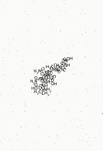 CC(C)[C@H](N)C(=O)N[C@@H](CCC(=O)O)C(=O)N[C@@H](CCC(=O)O)C(=O)N[C@@H](CCC(N)=O)C(=O)N[C@@H](CCC(N)=O)C(=O)N[C@@H](CCC(=O)O)C(=O)N[C@H](C(=O)N1CCC[C@H]1C(=O)N1CCC[C@H]1C(=O)N[C@@H](CC(=O)O)C(=O)O)C(C)C